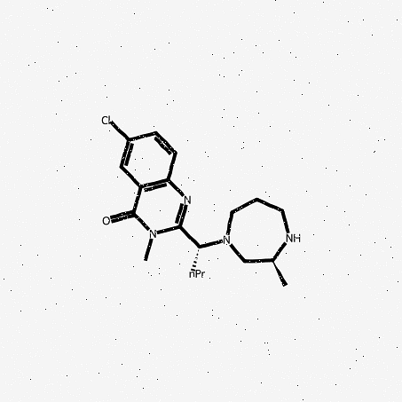 CCC[C@H](c1nc2ccc(Cl)cc2c(=O)n1C)N1CCCN[C@@H](C)C1